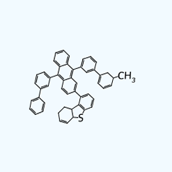 CC1C=CC=C(c2cccc(-c3c4ccccc4c(-c4cccc(-c5ccccc5)c4)c4ccc(-c5cccc6c5C5CCC=CC5S6)cc34)c2)C1